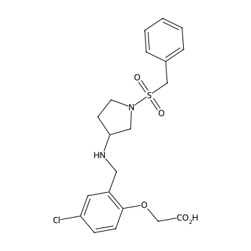 O=C(O)COc1ccc(Cl)cc1CNC1CCN(S(=O)(=O)Cc2ccccc2)C1